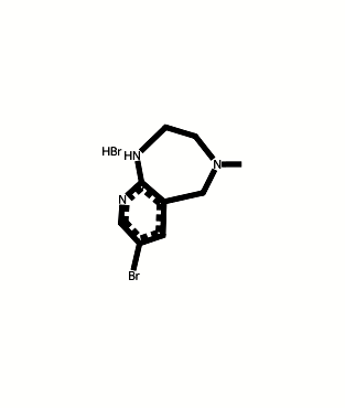 Br.CN1CCNc2ncc(Br)cc2C1